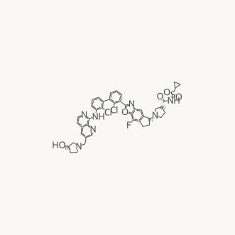 O=C(NS(=O)(=O)C1CC1)[C@@H]1CCN([C@@H]2CCc3c2cc2nc(-c4cccc(-c5cccc(Nc6nccc7cc(CN8CC[C@@H](O)C8)cnc67)c5Cl)c4Cl)oc2c3F)C1